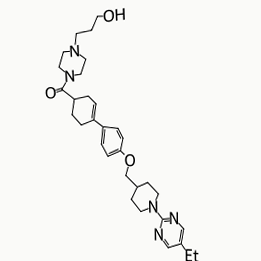 CCc1cnc(N2CCC(COc3ccc(C4=CCC(C(=O)N5CCN(CCCO)CC5)CC4)cc3)CC2)nc1